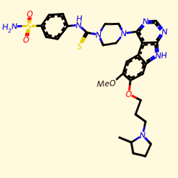 COc1cc2c(cc1OCCCN1CCCC1C)[nH]c1ncnc(N3CCN(C(=S)Nc4ccc(S(N)(=O)=O)cc4)CC3)c12